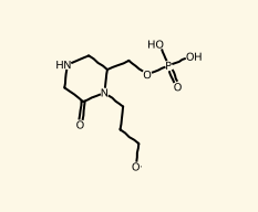 [O]CCCN1C(=O)CNCC1COP(=O)(O)O